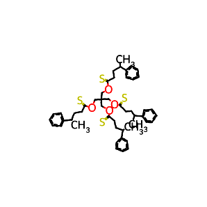 CC(CCC(=S)OCC(COC(=S)CCC(C)c1ccccc1)(COC(=S)CCC(C)c1ccccc1)COC(=S)CCC(C)c1ccccc1)c1ccccc1